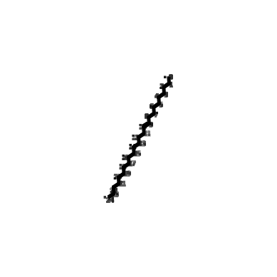 [CH2]CCCCCCCC/C=C/CCCCCCCCCCCCC[CH2]